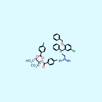 CC(C)N(CC[C@H](c1ccccc1)c1cc(Br)ccc1OCc1ccccc1)C(C)C.Cc1ccc(C(=O)O[C@@H](C(=O)O)[C@@H](OC(=O)c2ccc(C)cc2)C(=O)O)cc1